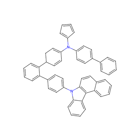 C1=CC=C(N(C2=CCC(c3ccccc3-c3ccc(-n4c5ccccc5c5c6ccccc6ccc54)cc3)C=C2)c2ccc(-c3ccccc3)cc2)C=1